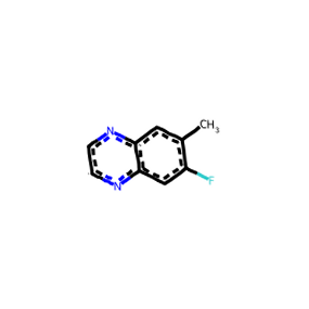 Cc1cc2nc[c]nc2cc1F